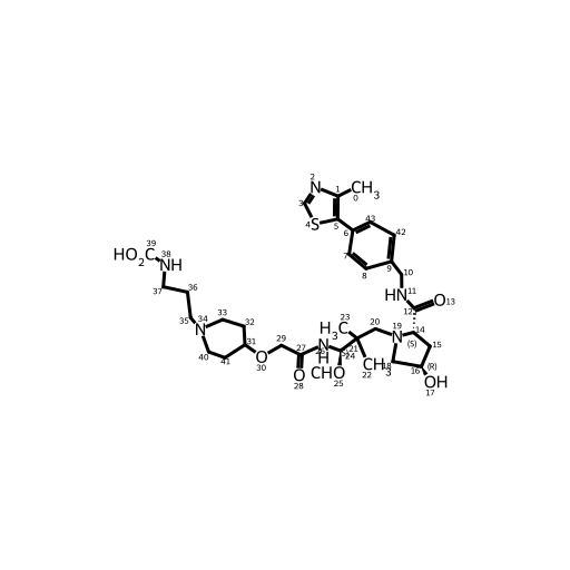 Cc1ncsc1-c1ccc(CNC(=O)[C@@H]2C[C@@H](O)CN2CC(C)(C)[C@@H](C=O)NC(=O)COC2CCN(CCCNC(=O)O)CC2)cc1